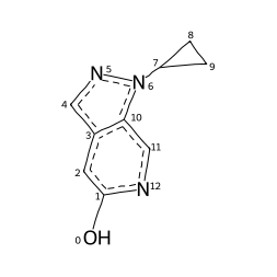 Oc1cc2cnn(C3CC3)c2cn1